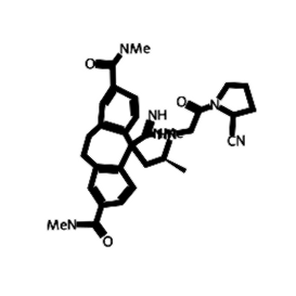 CNC(=N)C1(C[C@H](C)NCC(=O)N2CCCC2C#N)c2ccc(C(=O)NC)cc2CCc2cc(C(=O)NC)ccc21